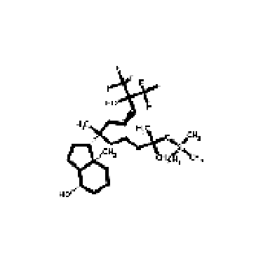 CC(C)(CCCC(C)(C/C=C\C(O)(C(F)(F)F)C(F)(F)F)[C@H]1CCC2[C@@H](O)CCC[C@@]21C)O[Si](C)(C)C